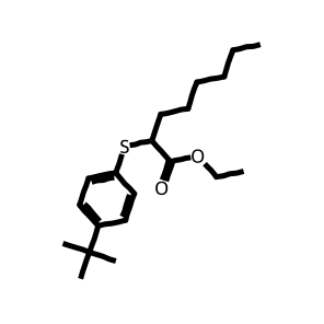 CCCCCCC(Sc1ccc(C(C)(C)C)cc1)C(=O)OCC